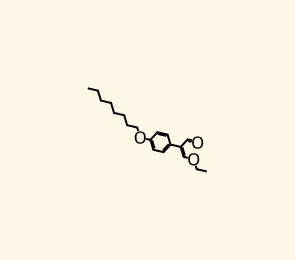 CCCCCCCCOc1ccc(C(C=O)=COCC)cc1